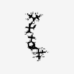 CCC(C)(COC(C(F)(F)F)C(F)(F)F)C(=O)OC(C)(C)C1CC2CC(CC(O)(C(F)(F)F)C(F)(F)F)C1C2